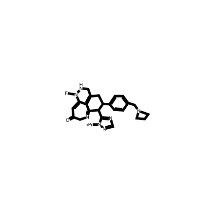 CCCn1ncnc1C1C2=NCC(=O)C=C3C2=C(CNN3F)CC1c1ccc(CN2CCC2)cc1